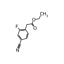 CCOC(=O)Cc1ccc(C#N)cc1F